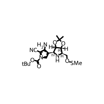 CSOC[C@H]1N[C@@H](c2cn(C(=O)OC(C)(C)C)c(C#N)c2N)[C@@H]2OC(C)(C)O[C@@H]21